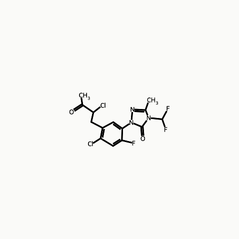 CC(=O)C(Cl)Cc1cc(-n2nc(C)n(C(F)F)c2=O)c(F)cc1Cl